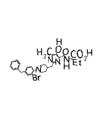 CCC(NC(=O)c1nc(CC2CCN(c3ccc(Cc4ccccc4)cc3Br)CC2)nc(C)c1O)C(=O)O